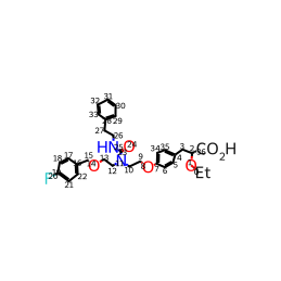 CCOC(Cc1ccc(OCCN(CCOCc2ccc(F)cc2)C(=O)NCCc2ccccc2)cc1)C(=O)O